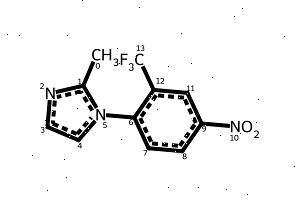 Cc1nccn1-c1ccc([N+](=O)[O-])cc1C(F)(F)F